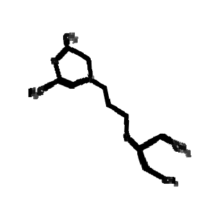 CCC(CC)OCCCN1C[C@@H](C)O[C@@H](C)C1